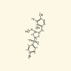 N#Cc1ccc(OC2CN(S(=O)(=O)c3ccc(Br)nc3)C[C@@]2(O)CO)cc1F